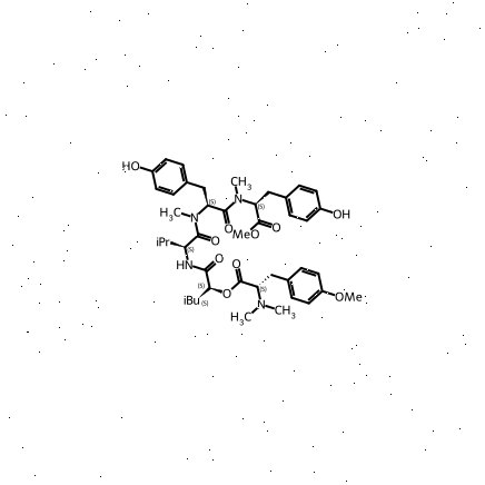 CC[C@H](C)[C@H](OC(=O)[C@H](Cc1ccc(OC)cc1)N(C)C)C(=O)N[C@H](C(=O)N(C)[C@@H](Cc1ccc(O)cc1)C(=O)N(C)[C@@H](Cc1ccc(O)cc1)C(=O)OC)C(C)C